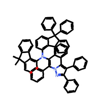 CC1(C)c2ccccc2-c2c(N(c3cccc4c3-c3ccccc3C4(c3ccccc3)c3ccccc3)c3c(-c4ccccc4)n4nc(-c5ccccc5)c(-c5ccccc5)c4c4ccccc34)cccc21